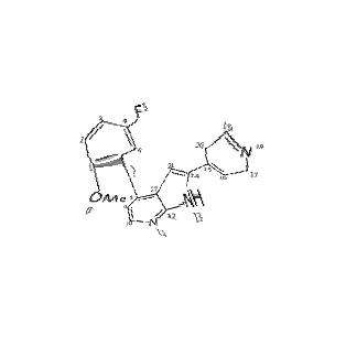 COc1ccc(F)cc1-c1ccnc2[nH]c(C3=CCN=CC3)cc12